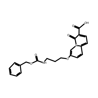 O=C(NCCCOc1ccc2ccc(C(=O)O)c(=O)n2c1)OCc1ccccc1